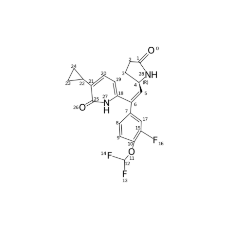 O=C1CC[C@H](C=C(c2ccc(OC(F)F)c(F)c2)c2ccc(C3CC3)c(=O)[nH]2)N1